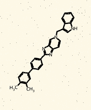 Cc1ccc(-c2ccc(-c3nc4ccn(Cc5c[nH]c6ccccc56)cc-4n3)cc2)cc1C